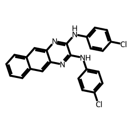 Clc1ccc(Nc2nc3cc4ccccc4cc3nc2Nc2ccc(Cl)cc2)cc1